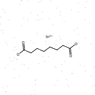 O=C([O-])CCCCCCC(=O)[O-].[Sn+2]